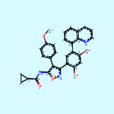 COc1ccc(-c2c(-c3cc(-c4cccc5cccnc45)c(O)cc3O)noc2NC(=O)C2CC2)cc1